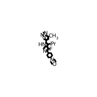 Cc1cc(-c2[nH]c3cnc(C4CCC(N5CCOCC5)CC4)c(F)c3c2C(C)C)cn2ncnc12